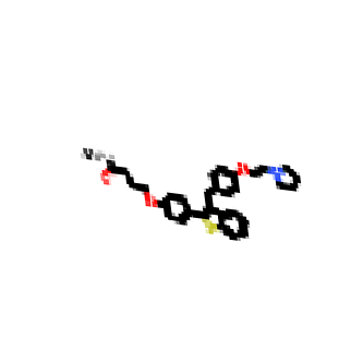 COC(=O)CCCOc1ccc(-c2sc3ccccc3c2Cc2ccc(OCCN3CCCC3)cc2)cc1